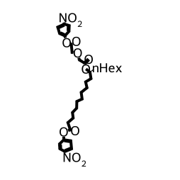 CCCCCC[C@H](CCCCCCCCCCC(=O)Oc1ccc([N+](=O)[O-])cc1)OC(=O)COCC(=O)Oc1ccc([N+](=O)[O-])cc1